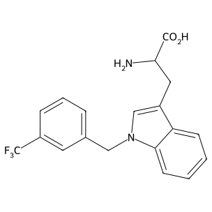 NC(Cc1cn(Cc2cccc(C(F)(F)F)c2)c2ccccc12)C(=O)O